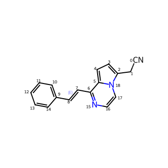 N#CCc1ccc2c(/C=C/c3ccccc3)nccn12